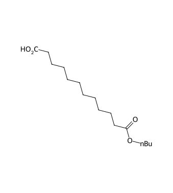 CCCCOC(=O)CCCCCCCCCCC(=O)O